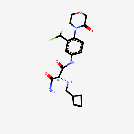 NC(=O)[C@@H](NCC1CCC1)C(=O)Nc1ccc(N2CCOCC2=O)c(C(F)F)c1